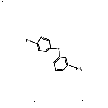 CC(C)c1ccc(Oc2cccc(N)c2)cc1